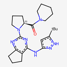 CC(C)(C)c1cc(Nc2nc(N3CCC[C@H]3C(=O)N3CCCCC3)nc3c2CCC3)n[nH]1